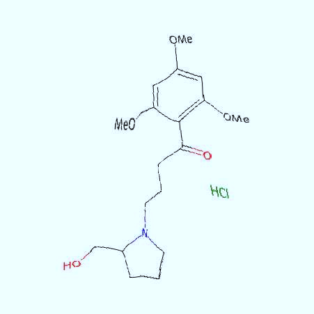 COc1cc(OC)c(C(=O)CCCN2CCCC2CO)c(OC)c1.Cl